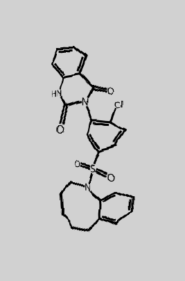 O=c1[nH]c2ccccc2c(=O)n1-c1cc(S(=O)(=O)N2CCCCCc3ccccc32)ccc1Cl